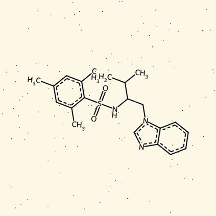 Cc1cc(C)c(S(=O)(=O)NC(Cn2cnc3ccccc32)C(C)C)c(C)c1